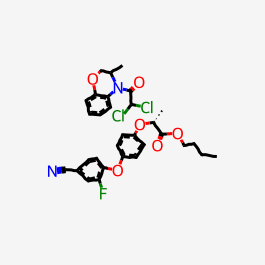 CC1COc2ccccc2N1C(=O)C(Cl)Cl.CCCCOC(=O)[C@@H](C)Oc1ccc(Oc2ccc(C#N)cc2F)cc1